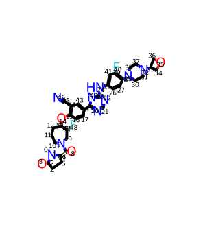 CN1C(=O)CC[C@H]1C(=O)N1CCC[C@H](Oc2ccc(-c3ncnc(Nc4ccc(N5CCN(C6COC6)CC5)c(F)c4)n3)cc2C#N)[C@H](F)C1